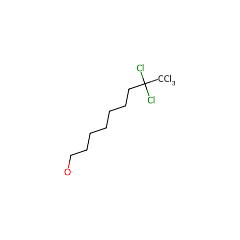 [O]CCCCCCCC(Cl)(Cl)C(Cl)(Cl)Cl